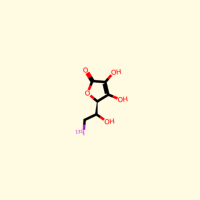 O=C1O[C@H](C(O)C[131I])C(O)=C1O